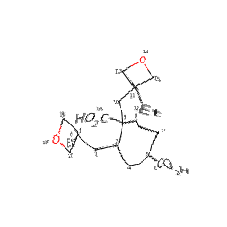 CCC1(CC2CC(C(=O)O)CCC2(CC2(CC)COC2)C(=O)O)COC1